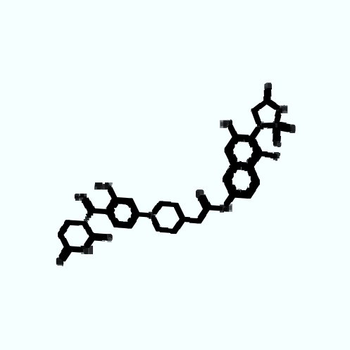 CNc1cc(N2CCC(CC(=O)Nc3ccc4c(F)c(N5CC(=O)NS5(=O)=O)c(O)cc4c3)CC2)ccc1C(=N)[C@H]1CCC(=O)NC1=O